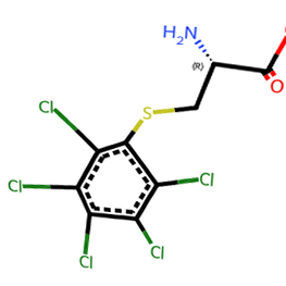 N[C@@H](CSc1c(Cl)c(Cl)c(Cl)c(Cl)c1Cl)C(=O)O